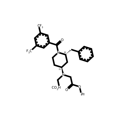 CC(C)OC(=O)CN(CC(=O)O)[C@H]1CCN(C(=O)c2cc(C(F)(F)F)cc(C(F)(F)F)c2)[C@H](Cc2ccccc2)C1